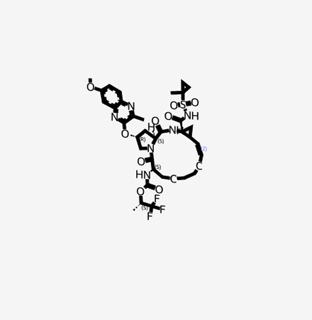 COc1ccc2nc(C)c(O[C@@H]3C[C@H]4C(=O)N[C@]5(C(=O)NS(=O)(=O)C6(C)CC6)CC5/C=C\CCCCC[C@H](NC(=O)O[C@@H](C)C(F)(F)F)C(=O)N4C3)nc2c1